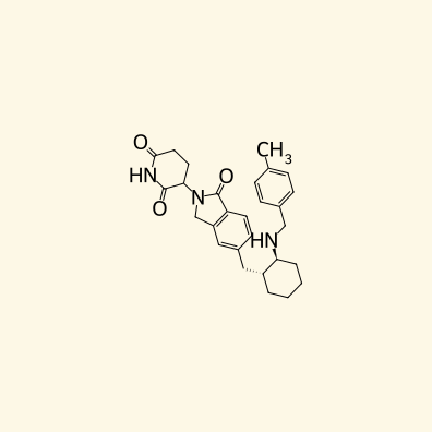 Cc1ccc(CN[C@H]2CCCC[C@@H]2Cc2ccc3c(c2)CN(C2CCC(=O)NC2=O)C3=O)cc1